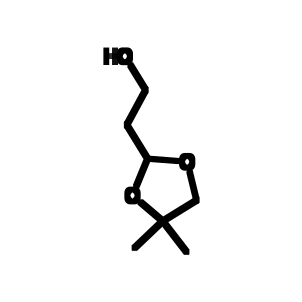 CC1(C)COC(CCO)O1